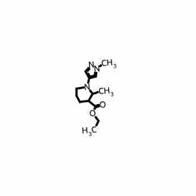 CCOC(=O)C1CCCN(c2cnn(C)c2)C1C